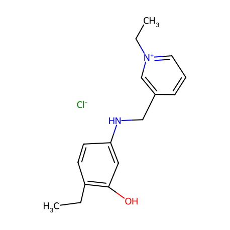 CCc1ccc(NCc2ccc[n+](CC)c2)cc1O.[Cl-]